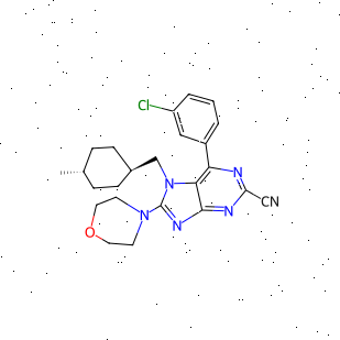 C[C@H]1CC[C@H](Cn2c(N3CCOCC3)nc3nc(C#N)nc(-c4cccc(Cl)c4)c32)CC1